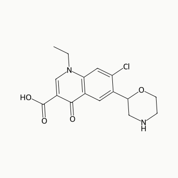 CCn1cc(C(=O)O)c(=O)c2cc(C3CNCCO3)c(Cl)cc21